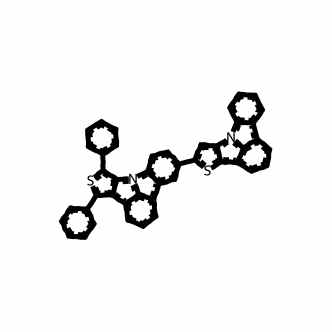 c1ccc(-c2sc(-c3ccccc3)c3c2c2cccc4c5cc(-c6cc7c(s6)c6cccc8c9ccccc9n7c86)ccc5n3c42)cc1